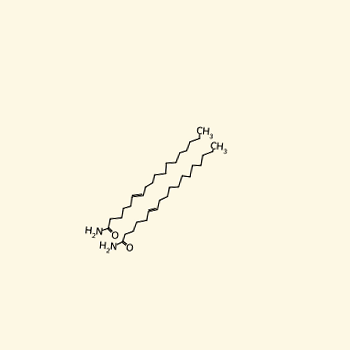 CCCCCCCCCCCC=CCCCCC(N)=O.CCCCCCCCCCCC=CCCCCC(N)=O